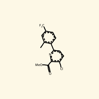 COC(=O)c1nc(-c2ccc(C(F)(F)F)cc2C)ccc1Cl